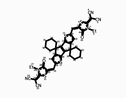 CCn1c(=C(C#N)C#N)s/c(=C/c2cc3c(s2)C2=C(c4sc(/C=c5/sc(=C(C#N)C#N)n(CC)c5=O)cc4C24CCCCC4)C32CCCCC2)c1=O